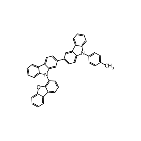 Cc1ccc(-n2c3ccccc3c3cc(-c4ccc5c6ccccc6n(-c6cccc7c6oc6ccccc67)c5c4)ccc32)cc1